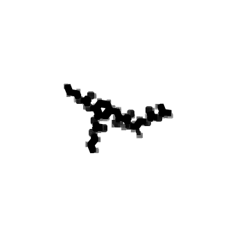 CCCOC(=O)Oc1ccc(C[C@H](N)C(=O)O[C@@H](C)COC(=O)OC(C)C)cc1OC(=O)OCCC